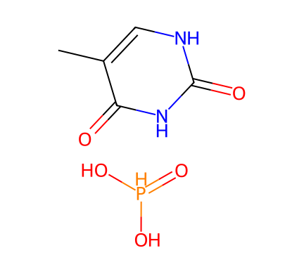 Cc1c[nH]c(=O)[nH]c1=O.O=[PH](O)O